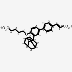 O=C(O)C=Cc1ccc(-c2ccc(OCCCCC(=O)O)c(C34CC5CC(CC(C5)C3)C4)c2)cc1